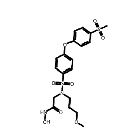 COCCCN(CC(=O)NO)S(=O)(=O)c1ccc(Oc2ccc(S(C)(=O)=O)cc2)cc1